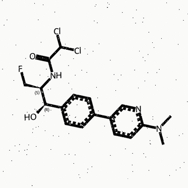 CN(C)c1ccc(-c2ccc([C@@H](O)[C@@H](CF)NC(=O)C(Cl)Cl)cc2)cn1